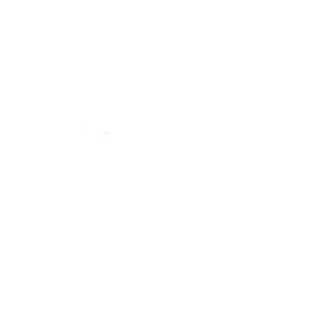 O=C(O)c1cccc(-c2ccccc2-c2cc(Cl)ccc2OCc2ccc(F)cc2)n1